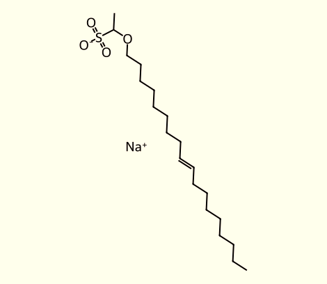 CCCCCCCCC=CCCCCCCCCOC(C)S(=O)(=O)[O-].[Na+]